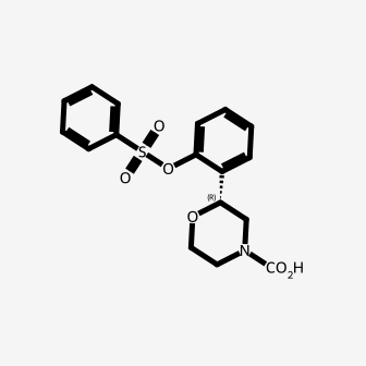 O=C(O)N1CCO[C@H](c2ccccc2OS(=O)(=O)c2ccccc2)C1